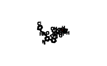 COc1c(CN2O[C@@H](CO)[C@@H]([C@H](C)O)[C@H]2C(=O)N[C@H]2C[C@H]3C[C@@H]([C@@H]2C)C3(C)C)cccc1-c1cc(C(=O)NCCc2ccc(Cl)cc2)cc(N(C)C)c1